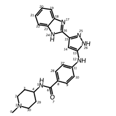 CN1CCC(NC(=O)c2ccc(Nc3cc(-c4nc5ccccc5[nH]4)n[nH]3)cc2)CC1